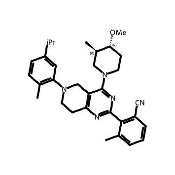 CO[C@@H]1CCN(c2nc(-c3c(C)cccc3C#N)nc3c2CN(c2cc(C(C)C)ccc2C)CC3)C[C@H]1C